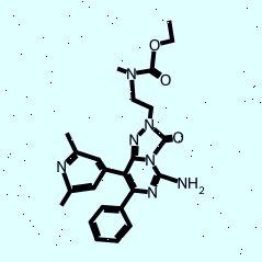 CCOC(=O)N(C)CCn1nc2c(-c3cc(C)nc(C)c3)c(-c3ccccc3)nc(N)n2c1=O